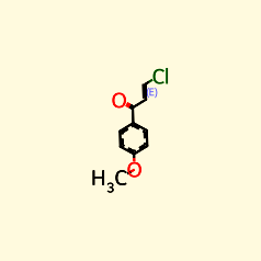 COc1ccc(C(=O)/C=C/Cl)cc1